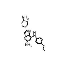 CCCc1ccc(Nc2cc(N)nn3cc([C@H]4CC[C@H](N)CC4)nc23)cc1